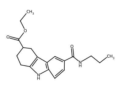 CCCNC(=O)c1ccc2[nH]c3c(c2c1)CC(C(=O)OCC)CC3